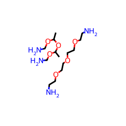 CC(OCN)OC(C)OCN.NCCOCCOCCOCCN